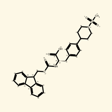 CS(=O)(=O)N1CCC(c2ccc(C[C@H](NC(=O)OCC3c4ccccc4-c4ccccc43)C(=O)O)cc2)CC1